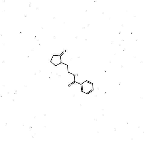 O=C(NCCN1CCCC1=O)c1ccccc1